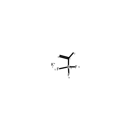 C=C(C)[B-](F)(F)F.[K+]